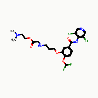 CN(C)CCOC(=O)CNCCCOc1cc(C(=O)Nc2c(Cl)cncc2Cl)ccc1OC(F)F